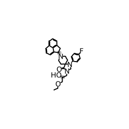 CCOC[C@H](O)CN1CN(c2ccc(F)cc2)C2(CCN([C@@H]3Cc4cccc5cccc3c45)CC2)C1=O